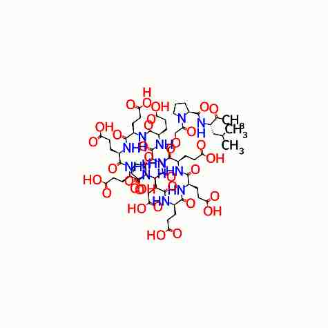 CC(=O)[C@H](CC(C)C)NC(=O)[C@@H]1CCCN1C(=O)COCCNC(=O)[C@@H](CCC(=O)O)NC(=O)[C@@H](CCC(=O)O)NC(=O)[C@@H](CCC(=O)O)NC(=O)[C@@H](CCC(=O)O)NC(=O)[C@@H](CCC(=O)O)NC(=O)[C@@H](CCC(=O)O)NC(=O)[C@@H](CCC(=O)O)NC(=O)[C@@H](CCC(=O)O)NC(=O)[C@@H](CCC(=O)O)NC(=O)CCN1C(=O)C=CC1=O